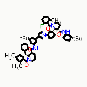 Cc1ccc(C(=O)N2CCC[C@H](C(=O)Nc3cc(-c4ccn(-c5cccc([C@H]6[C@@H](C(=O)Nc7cccc(C(C)(C)C)c7)CCCN6C(=O)c6c(C)cccc6F)c5)c4)cc(C(C)(C)C)c3)[C@@H]2CC2CCCCC2)c(C)c1